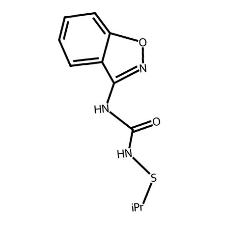 CC(C)SNC(=O)Nc1noc2ccccc12